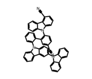 N#Cc1ccc(-n2c3ccccc3c3c(C#N)cccc32)c(-c2ccccc2-n2c3ccccc3c3cc(-n4c5ccccc5c5ccccc54)ccc32)c1